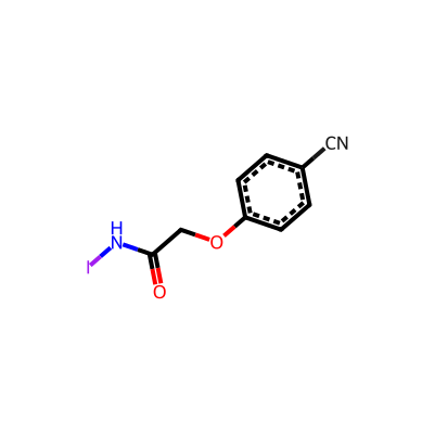 N#Cc1ccc(OCC(=O)NI)cc1